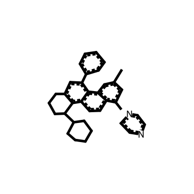 Cc1cc(C)c2ccc3c4c(cc(-c5ccccc5)c3c2c1)CCCC4C1CCCCC1.c1cnccn1